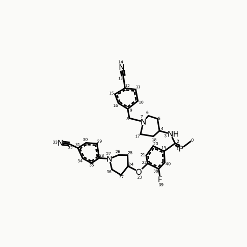 C/P=C(\NC1CCN(Cc2ccc(C#N)cc2)CC1)c1ccc(OC2CCN(c3ccc(C#N)cc3)CC2)c(F)c1